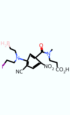 BCCN(CCI)c1cc(C(=O)N(C)CCC(=O)O)c([N+](=O)[O-])cc1C#N